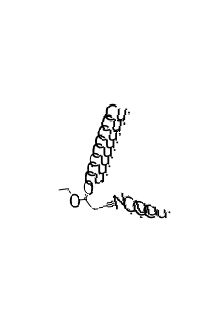 CCOC(=O)CC#N.[Cu].[Cu].[Cu].[Cu].[Cu].[Cu].[Cu].[Cu].[Cu].[Cu].[Cu]